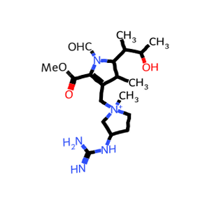 COC(=O)C1=C(C[N+]2(C)CCC(NC(=N)N)C2)C(C)C(C(C)C(C)O)N1C=O